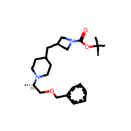 C[C@@H](COCc1ccccc1)N1CCC(CC2CN(C(=O)OC(C)(C)C)C2)CC1